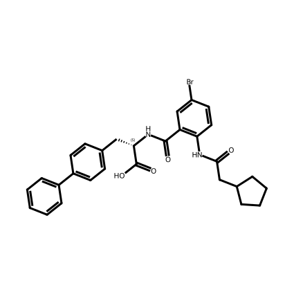 O=C(CC1CCCC1)Nc1ccc(Br)cc1C(=O)N[C@@H](Cc1ccc(-c2ccccc2)cc1)C(=O)O